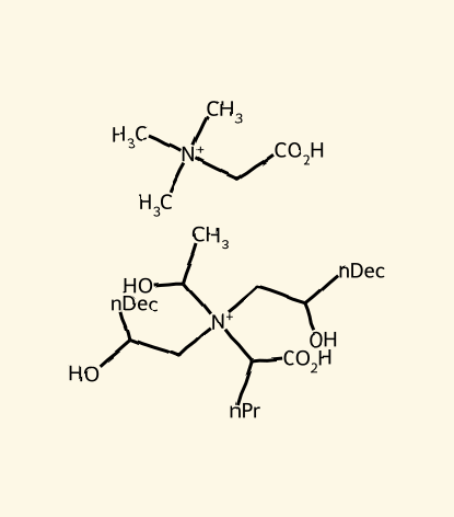 CCCCCCCCCCC(O)C[N+](CC(O)CCCCCCCCCC)(C(C)O)C(CCC)C(=O)O.C[N+](C)(C)CC(=O)O